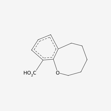 O=C(O)c1cccc2c1OCCCCC2